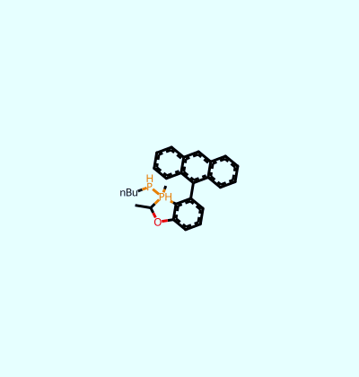 CCCCP[PH]1(C)c2c(cccc2-c2c3ccccc3cc3ccccc23)OC1C